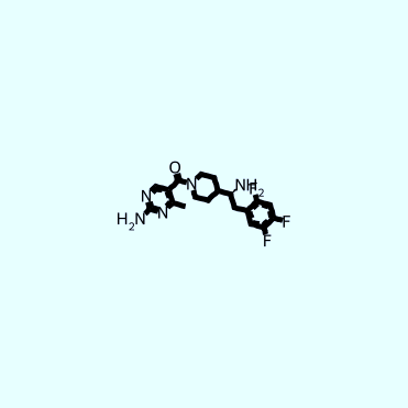 Cc1nc(N)ncc1C(=O)N1CCC([C@H](N)Cc2cc(F)c(F)cc2F)CC1